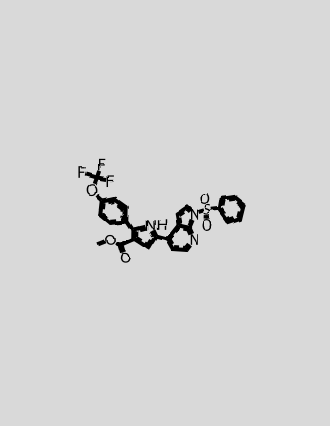 COC(=O)c1cc(-c2ccnc3c2ccn3S(=O)(=O)c2ccccc2)[nH]c1-c1ccc(OC(F)(F)F)cc1